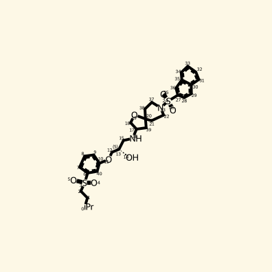 CC(C)CCS(=O)(=O)c1cccc(OC[C@@H](O)CNC2COC3(CCN(S(=O)(=O)c4ccc5ccccc5c4)CC3)C2)c1